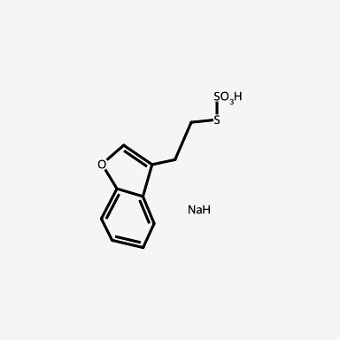 O=S(=O)(O)SCCc1coc2ccccc12.[NaH]